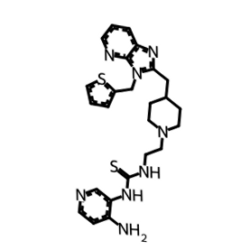 Nc1ccncc1NC(=S)NCCN1CCC(Cc2nc3cccnc3n2Cc2cccs2)CC1